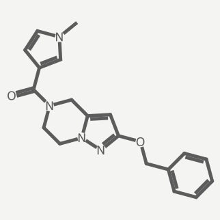 Cn1ccc(C(=O)N2CCn3nc(OCc4ccccc4)cc3C2)c1